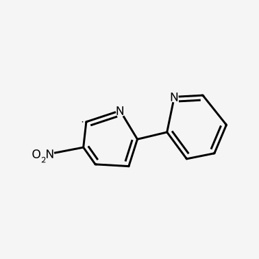 O=[N+]([O-])c1[c]nc(-c2ccccn2)cc1